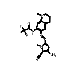 CN1CCCc2cc(N=Nc3nc(N)c(C#N)n3C)c(NC(=O)C(F)(F)F)cc21